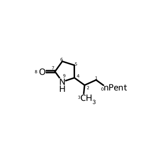 CCCCCCC(C)C1CCC(=O)N1